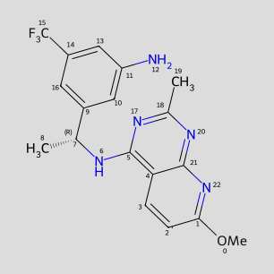 COc1[c]cc2c(N[C@H](C)c3cc(N)cc(C(F)(F)F)c3)nc(C)nc2n1